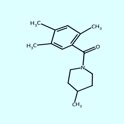 Cc1cc(C)c(C(=O)N2CCC(C)CC2)cc1C